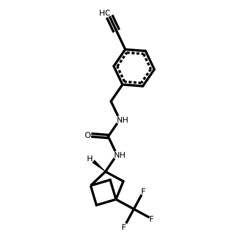 C#Cc1cccc(CNC(=O)N[C@@H]2CC3(C(F)(F)F)CC2C3)c1